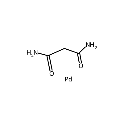 NC(=O)CC(N)=O.[Pd]